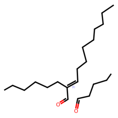 CCCCC=O.CCCCCCCC/C=C(/C=O)CCCCCC